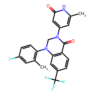 Cc1cc(N2CN(c3ccc(F)cc3C)c3cc(C(F)(F)F)ccc3C2=O)cc(=O)[nH]1